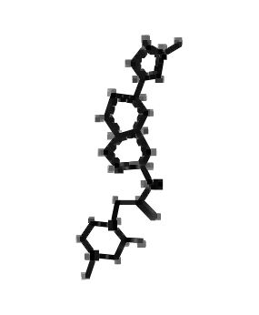 C=C(CN1CCN(C)CC1C)Nc1cc2cc(-c3cnn(C)c3)ccc2cn1